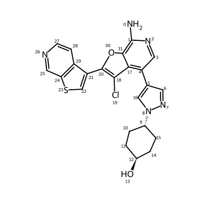 Nc1ncc(-c2cnn([C@H]3CC[C@H](O)CC3)c2)c2c(Cl)c(-c3csc4cnccc34)oc12